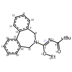 CCO/C(=N\C(=O)C(C)(C)C)N1Cc2ccccc2-c2ccccc2C1